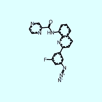 [N-]=[N+]=Nc1cc(F)cc(-c2ccc3cccc(NC(=O)c4cnccn4)c3n2)c1